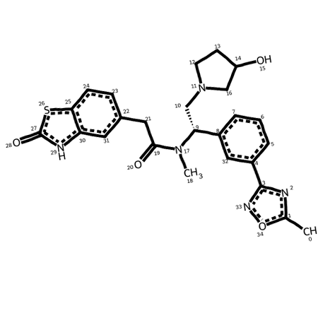 Cc1nc(-c2cccc([C@@H](CN3CCC(O)C3)N(C)C(=O)Cc3ccc4sc(=O)[nH]c4c3)c2)no1